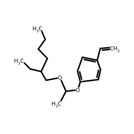 C=Cc1ccc(OC(C)OCC(CC)CCCC)cc1